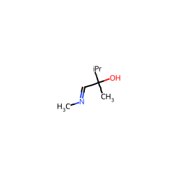 CN=CC(C)(O)C(C)C